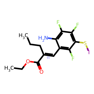 CCC/C(=C\c1c(N)c(F)c(F)c(SI)c1F)C(=O)OCC